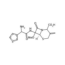 C=C1CS[C@@H]2N(C(=O)C2(NC(=O)C(N)c2ccsc2)OC)C1C(=O)O